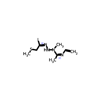 C=C/N=C(/C)N(C)N/N=C(/I)CSC